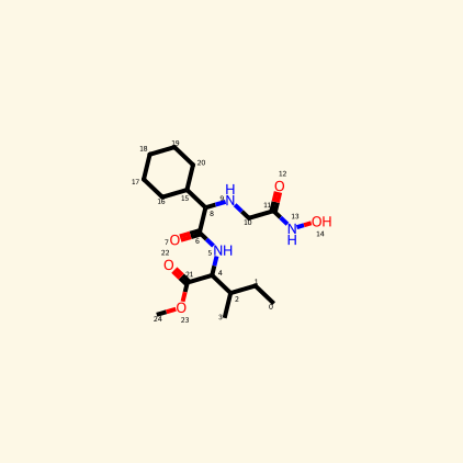 CCC(C)C(NC(=O)C(NCC(=O)NO)C1CCCCC1)C(=O)OC